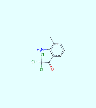 Cc1cccc(C(=O)C(Cl)(Cl)Cl)c1N